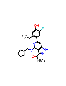 CNC(=O)c1n[nH]c2cc(-c3cc(F)c(O)cc3CC(F)(F)F)nc(NCC3CCCC3)c12